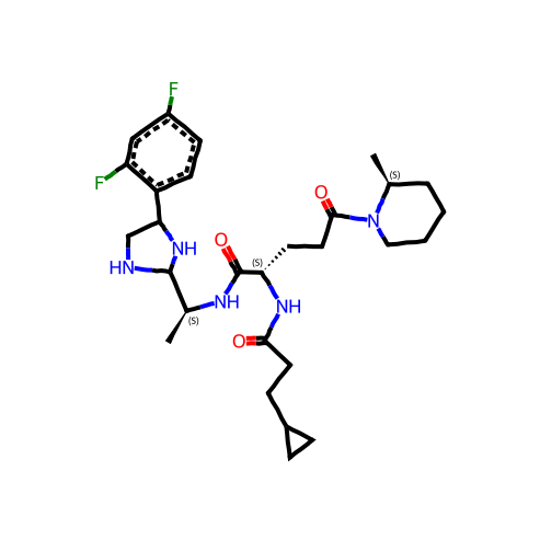 C[C@H](NC(=O)[C@H](CCC(=O)N1CCCC[C@@H]1C)NC(=O)CCC1CC1)C1NCC(c2ccc(F)cc2F)N1